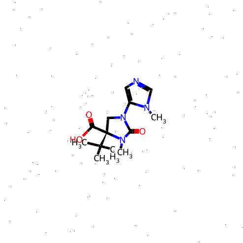 CN1C(=O)N(c2cncn2C)C[C@]1(C(=O)O)C(C)(C)C